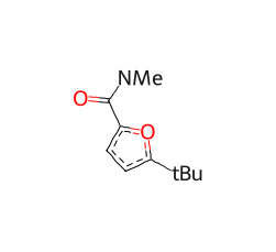 CNC(=O)c1ccc(C(C)(C)C)o1